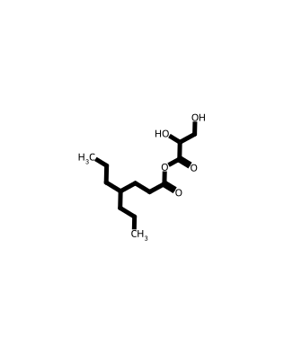 CCCC(CCC)CCC(=O)OC(=O)C(O)CO